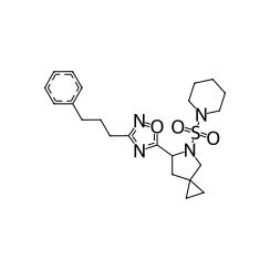 O=S(=O)(N1CCCCC1)N1CC2(CC2)CC1c1nc(CCCc2ccccc2)no1